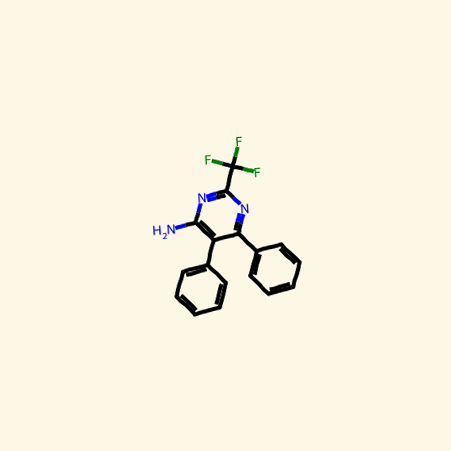 Nc1nc(C(F)(F)F)nc(-c2ccccc2)c1-c1ccccc1